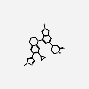 CC(=O)N1Cc2cc(C3CCNC(=O)C3)cc(N3CCCc4cc(-c5cnn(C)c5)c(C5CC5)cc43)c2C1